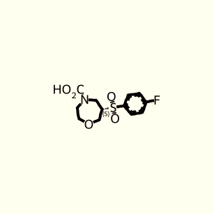 O=C(O)N1CCOC[C@@H](S(=O)(=O)c2ccc(F)cc2)C1